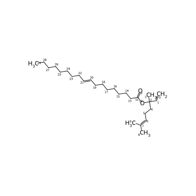 C=CC(C)(CCC=C(C)C)OC(=O)CCCCCCCC=CCCCCCCCC